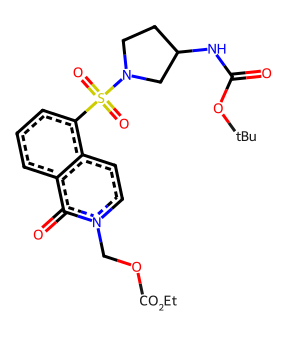 CCOC(=O)OCn1ccc2c(S(=O)(=O)N3CCC(NC(=O)OC(C)(C)C)C3)cccc2c1=O